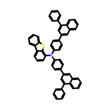 c1ccc(-c2cc(-c3ccc(N(c4ccc(-c5cc(-c6ccccc6)c6ccccc6c5)cc4)c4cccc5c4sc4ccccc45)cc3)cc3ccccc23)cc1